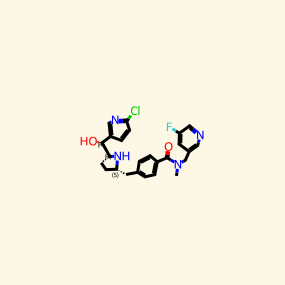 CN(Cc1cncc(F)c1)C(=O)c1ccc(C[C@@H]2CC[C@H]([C@H](O)c3ccc(Cl)nc3)N2)cc1